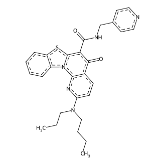 CCCCN(CCC)c1ccc2c(=O)c(C(=O)NCc3ccncc3)c3sc4ccccc4n3c2n1